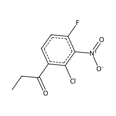 CCC(=O)c1ccc(F)c([N+](=O)[O-])c1Cl